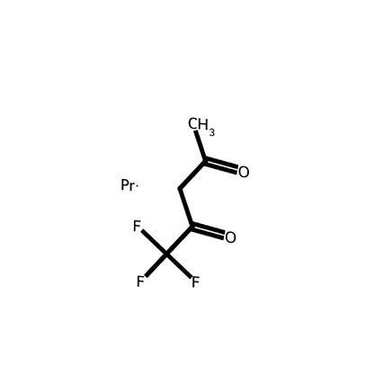 CC(=O)CC(=O)C(F)(F)F.[Pr]